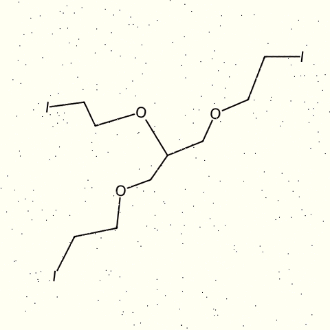 ICCOCC(COCCI)OCCI